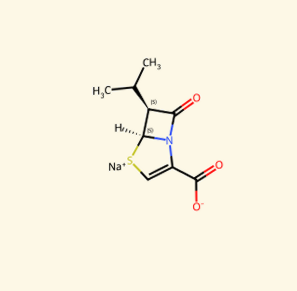 CC(C)[C@H]1C(=O)N2C(C(=O)[O-])=CS[C@@H]12.[Na+]